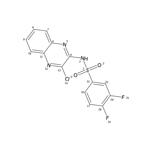 O=S(=O)(Nc1nc2ccccc2nc1Cl)c1ccc(F)c(F)c1